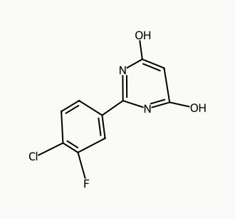 Oc1cc(O)nc(-c2ccc(Cl)c(F)c2)n1